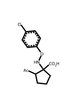 CC(=O)C1CCCC1(NOc1ccc(Cl)cc1)C(=O)O